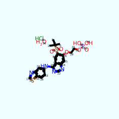 CC(C)(C)S(=O)(=O)c1cc2c(Nc3ccc4scnc4c3)ncnc2cc1OCCOP(=O)(O)O.Cl.O